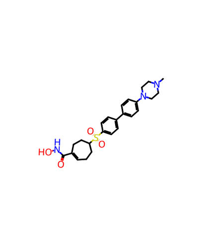 CN1CCN(c2ccc(-c3ccc(S(=O)(=O)C4CCC=C(C(=O)NO)CC4)cc3)cc2)CC1